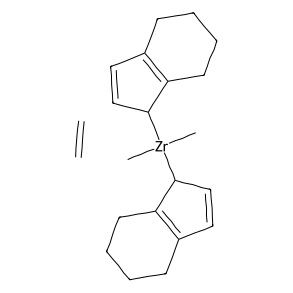 C=C.[CH3][Zr]([CH3])([CH]1C=CC2=C1CCCC2)[CH]1C=CC2=C1CCCC2